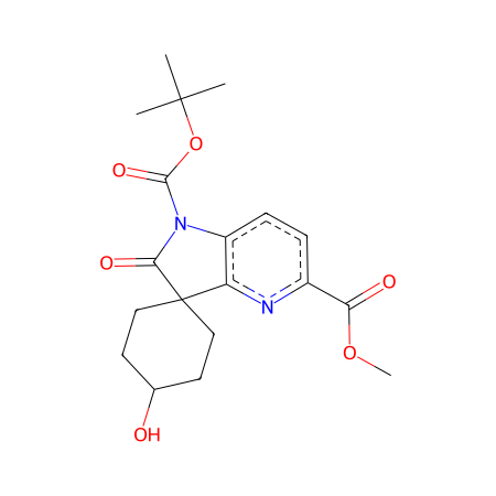 COC(=O)c1ccc2c(n1)C1(CCC(O)CC1)C(=O)N2C(=O)OC(C)(C)C